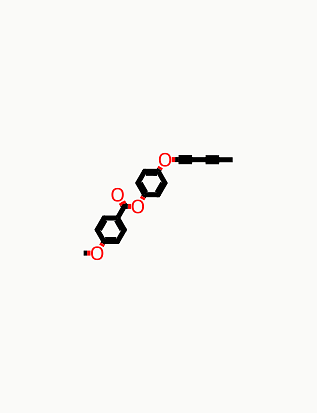 CC#CC#COc1ccc(OC(=O)c2ccc(OC)cc2)cc1